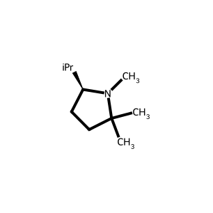 CC(C)[C@@H]1CCC(C)(C)N1C